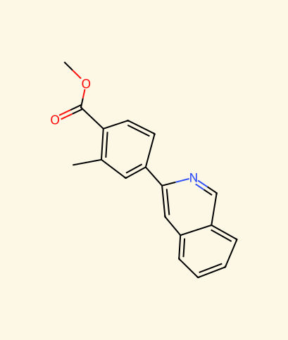 COC(=O)c1ccc(-c2cc3ccccc3cn2)cc1C